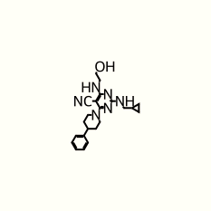 N#Cc1c(NCCO)nc(NCC2CC2)nc1N1CCC(c2ccccc2)CC1